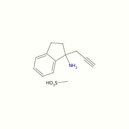 C#CCC1(N)CCc2ccccc21.CS(=O)(=O)O